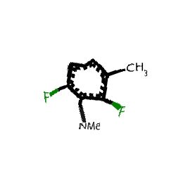 CNc1c(F)ccc(C)c1F